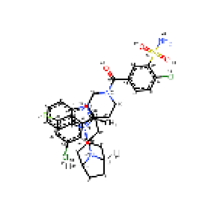 Cc1nc2ccccc2n1[C@H]1C[C@H]2CC[C@@H](C1)N2CCC1(c2cc(F)cc(Cl)c2)CCN(C(=O)c2ccc(Cl)c(S(N)(=O)=O)c2)CC1